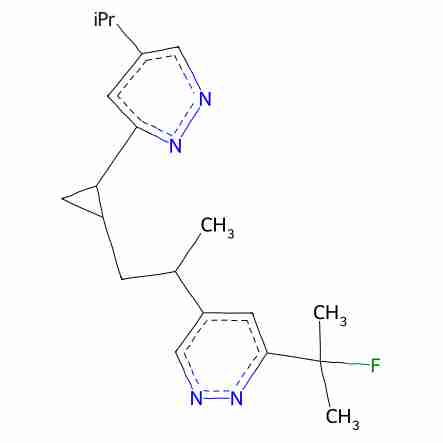 CC(C)c1cnnc(C2CC2CC(C)c2cnnc(C(C)(C)F)c2)c1